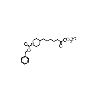 CCOC(=O)C(=O)CCCCCC1CCN(C(=O)OCc2ccccc2)CC1